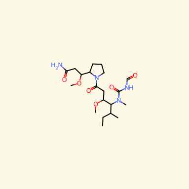 CCC(C)C(C(CC(=O)N1CCCC1C(CC(N)=O)OC)OC)N(C)C(=O)NC=O